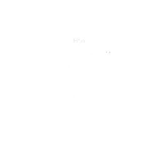 O=[C]([SnH])C=Cc1ccccc1